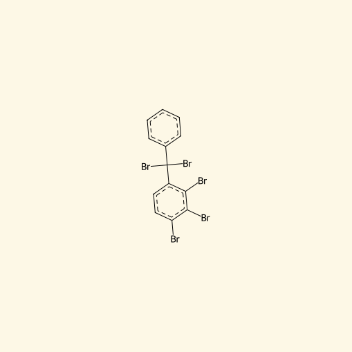 Brc1ccc(C(Br)(Br)c2ccccc2)c(Br)c1Br